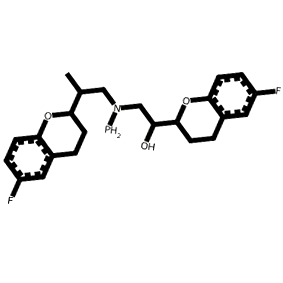 CC(CN(P)CC(O)C1CCc2cc(F)ccc2O1)C1CCc2cc(F)ccc2O1